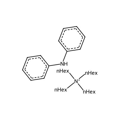 CCCCCC[N+](CCCCCC)(CCCCCC)CCCCCC.c1ccc(Nc2ccccc2)cc1